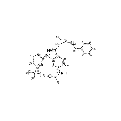 CC(=O)Nc1cc2c(cn1)c(C1CC1OCc1ccccc1)nn2-c1nccc(C(C)(F)F)n1